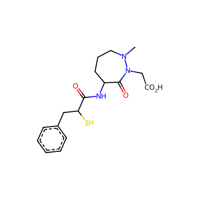 CN1CCCC(NC(=O)C(S)Cc2ccccc2)C(=O)N1CC(=O)O